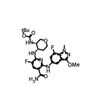 COc1nn(C)c2c(F)cc(Nc3nc(N[C@@H]4CCOC[C@@H]4NC(=O)OC(C)(C)C)c(F)cc3C(N)=O)cc12